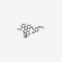 COc1ccc(Br)c(COc2cccc(-c3c(-c4ccccc4C)cnc4c(C(F)(F)F)cccc34)c2)c1